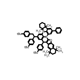 CC(C)(C)c1ccc(CC(c2ccc(C(C)(C)C)cc2)c2cc3c4c(c2)N2c5c(cc(-c6ccccc6)cc5C5(C)CCCCC25C)B4c2oc4cc5c(cc4c2C3c2ccc(C(C)(C)C)cc2)C(C)(C)CCC5(C)C)cc1